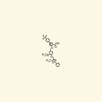 COc1cc(COc2nn(-c3ccc(C(F)(F)F)cc3)cc2C(=O)O)ccc1OCc1nc(-c2ccccc2)oc1C